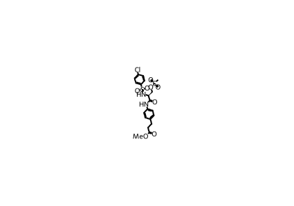 COC(=O)CCc1ccc(NC(=O)[C@H](COS(C)(=O)=O)NS(=O)(=O)c2ccc(Cl)cc2)cc1